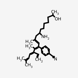 C=CC(=C\C=C(C)C)/C(C)=C(/C=C(\C)CC(N)CCCCCC(C)O)c1ccc(C#N)cc1